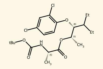 CCC(CC)[C@@H](Oc1ccc(Cl)cc1Cl)[C@H](C)OC(=O)[C@H](C)NC(=O)OC(C)(C)C